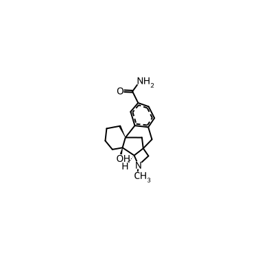 CN1CC23Cc4ccc(C(N)=O)cc4[C@]4(CCCC[C@@]4(O)[C@H]12)C3